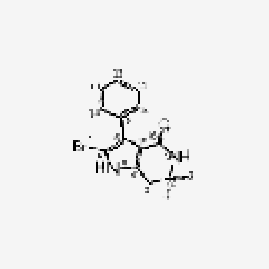 CC1(C)Cc2[nH]c(Br)c(-c3ccccc3)c2C(=O)N1